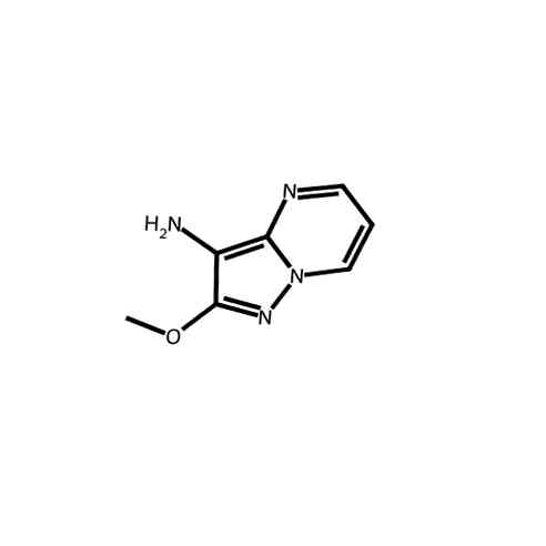 COc1nn2cccnc2c1N